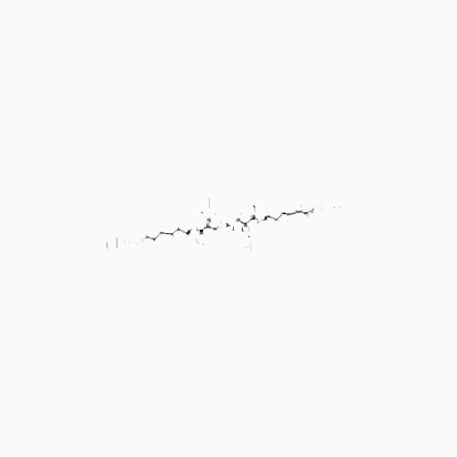 CCCCCCCCCCCCCCCCOC(=O)[C@@H](N)CSSC[C@H](N)C(=O)OCCCCCCCCCCCCCCCC